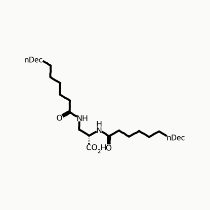 CCCCCCCCCCCCCCCC(=O)NC[C@H](NC(=O)CCCCCCCCCCCCCCC)C(=O)O